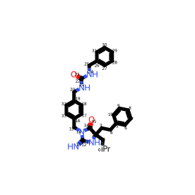 CC(C)CC1(CCc2ccccc2)NC(=N)N(Cc2ccc(CNC(=O)NCc3ccccc3)cc2)C1=O